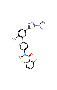 Cc1ccc(-c2nnc(N(C)C)s2)cc1-c1ccc(N(C)C(=O)c2c(F)cccc2F)cc1